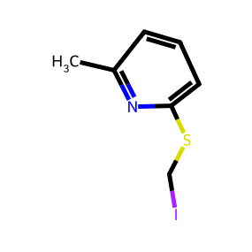 Cc1cccc(SCI)n1